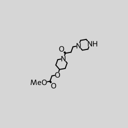 COC(=O)COC1CCN(C(=O)CCN2CCNCC2)CC1